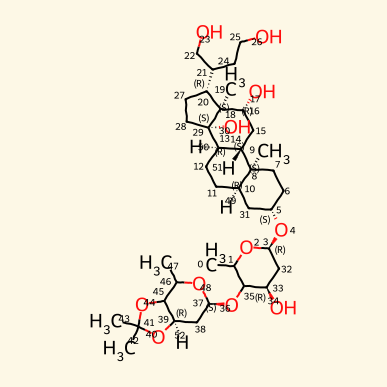 CC1O[C@@H](O[C@H]2CC[C@@]3(C)[C@H](CC[C@@H]4[C@@H]3C[C@@H](O)[C@]3(C)[C@@H](C(CO)CCO)CC[C@]43O)C2)C[C@@H](O)C1O[C@H]1C[C@H]2OC(C)(C)OC2C(C)O1